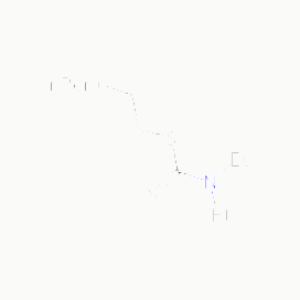 CCCCCCSSC(=S)N(CC)CC